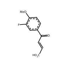 COc1ccc(C(=O)C=CC(=O)O)cc1F